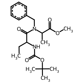 CCC(NC(=O)OC(C)(C)C)C(=O)N(Cc1ccccc1)C(C)C(=O)OC